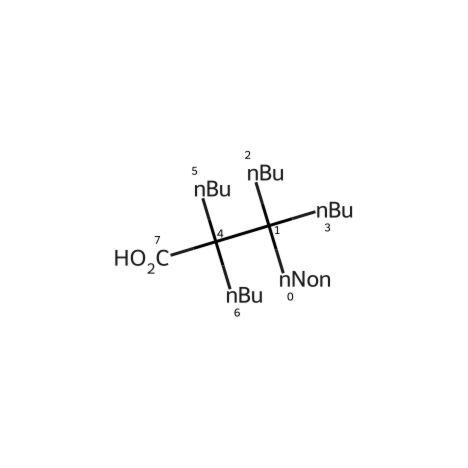 CCCCCCCCCC(CCCC)(CCCC)C(CCCC)(CCCC)C(=O)O